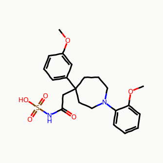 COc1cccc(C2(CC(=O)NS(=O)(=O)O)CCCN(c3ccccc3OC)CC2)c1